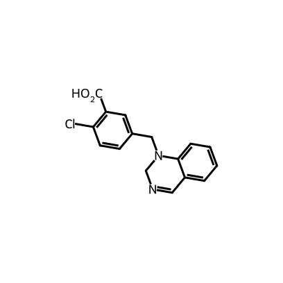 O=C(O)c1cc(CN2CN=Cc3ccccc32)ccc1Cl